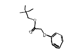 CC(C)(C)COC(=O)COc1ccccc1